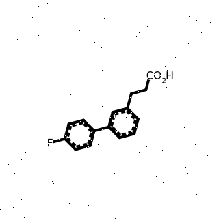 O=C(O)CCc1cccc(-c2ccc(F)cc2)c1